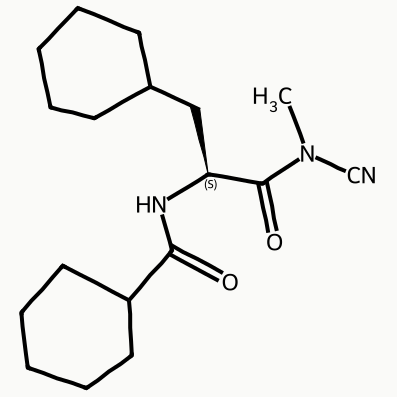 CN(C#N)C(=O)[C@H](CC1CCCCC1)NC(=O)C1CCCCC1